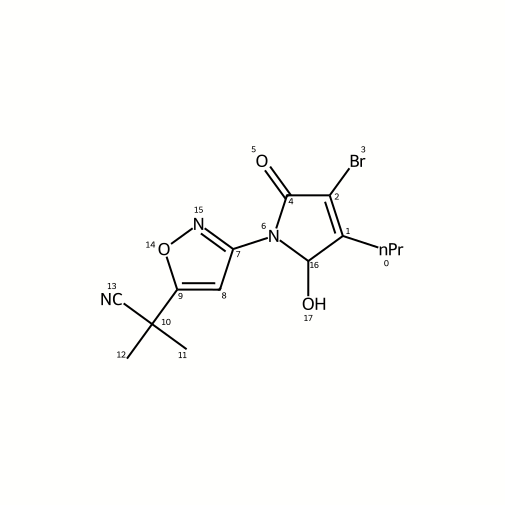 CCCC1=C(Br)C(=O)N(c2cc(C(C)(C)C#N)on2)C1O